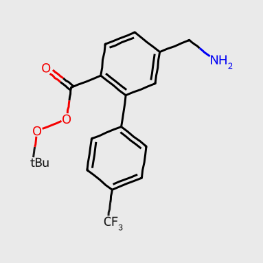 CC(C)(C)OOC(=O)c1ccc(CN)cc1-c1ccc(C(F)(F)F)cc1